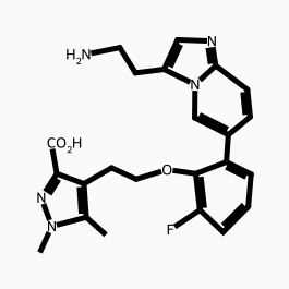 Cc1c(CCOc2c(F)cccc2-c2ccc3ncc(CCN)n3c2)c(C(=O)O)nn1C